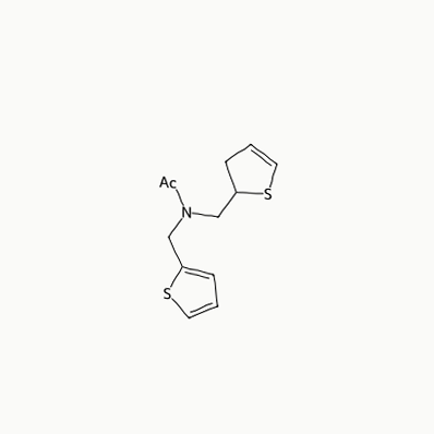 CC(=O)N(Cc1cccs1)CC1CC=CS1